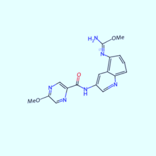 CO/C(N)=N\c1cccc2ncc(NC(=O)c3cnc(OC)cn3)cc12